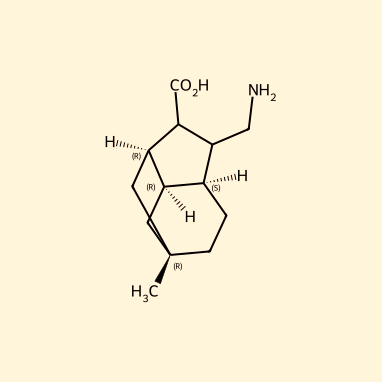 C[C@]12CC[C@@H]3C(CN)C(C(=O)O)[C@H](C1)[C@@H]3C2